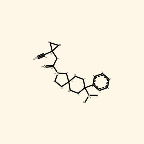 CN(C)C1(c2ccccc2)CCC2(CCN(C(=O)CC3(C#N)CC3)C2)CC1